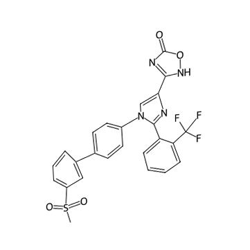 CS(=O)(=O)c1cccc(-c2ccc(-n3cc(-c4nc(=O)o[nH]4)nc3-c3ccccc3C(F)(F)F)cc2)c1